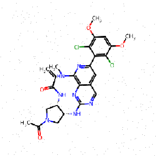 C=CC(=O)N[C@H]1CN(C(C)=O)C[C@H]1Nc1ncc2cc(-c3c(Cl)c(OC)cc(OC)c3Cl)nc(NC)c2n1